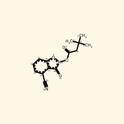 CC(C)(C)CC(=O)On1oc2cccc(C#N)c2c1=O